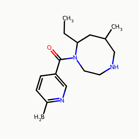 Bc1ccc(C(=O)N2CCNCC(C)CC2CC)cn1